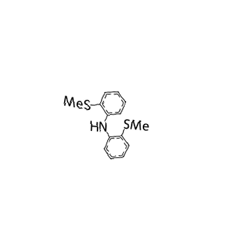 CSc1ccccc1Nc1ccccc1SC